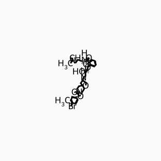 Cc1cc(S(=O)(=O)N2CCC3(CC2)CC(NC[C@H](O)COc2ccccc2S(=O)(=O)NCCCN(C)C)CO3)ccc1Br